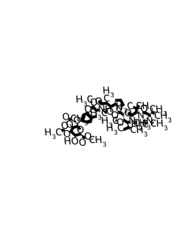 CCC(C)[C@@H]([C@@H](CC(=O)N1CCC[C@H]1[C@H](OC)[C@@H](C)C(=O)N[C@H](Cc1ccc(O[C@H]2O[C@@H](C(=O)OC)[C@H](O)[C@@H](OC(C)=O)[C@@H]2OC(C)=O)cc1)C(=O)OC)OC)N(C)C(=O)[C@@H](NC(=O)[C@H](C(C)C)N(C)C)C(C)C